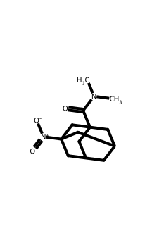 CN(C)C(=O)C12CC3CC(C1)CC([N+](=O)[O-])(C3)C2